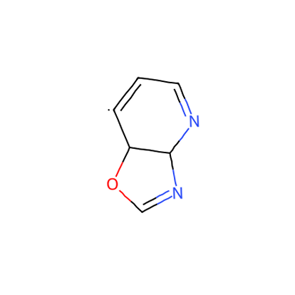 [C]1=CC=NC2N=COC12